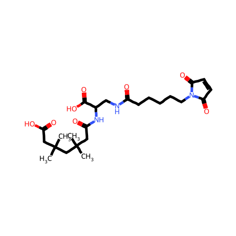 CC(C)(CC(=O)O)CC(C)(C)CC(=O)NC(CNC(=O)CCCCCN1C(=O)C=CC1=O)C(=O)O